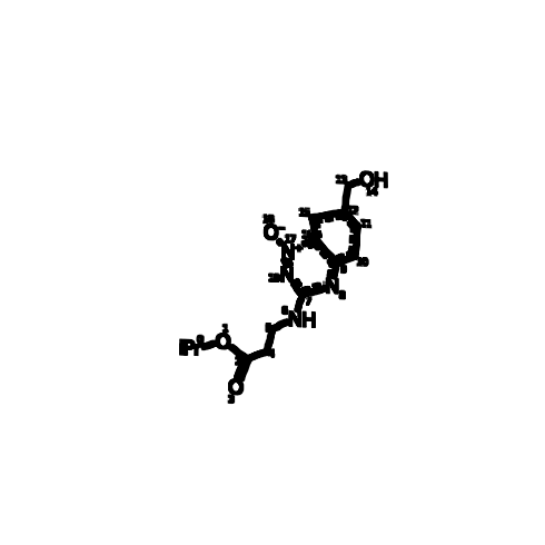 CC(C)OC(=O)CCNc1nc2ccc(CO)cc2[n+]([O-])n1